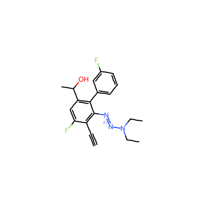 C#Cc1c(F)cc(C(C)O)c(-c2cccc(F)c2)c1/N=N/N(CC)CC